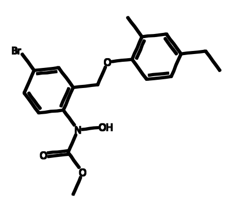 CCc1ccc(OCc2cc(Br)ccc2N(O)C(=O)OC)c(C)c1